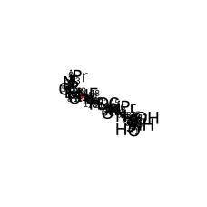 CC(C)c1nc(C(=O)N2CCOC3(CCN(Cc4cccc(CCOCCC(=O)N(CCNCCc5ccc(O)c6[nH]c(=O)sc56)[C@H](C)C(C)C)c4F)CC3)C2)cs1